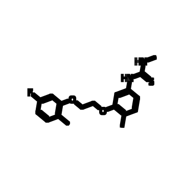 CNC(=S)Nc1ccc(C)c(OCCOc2cc(F)ccc2C)c1